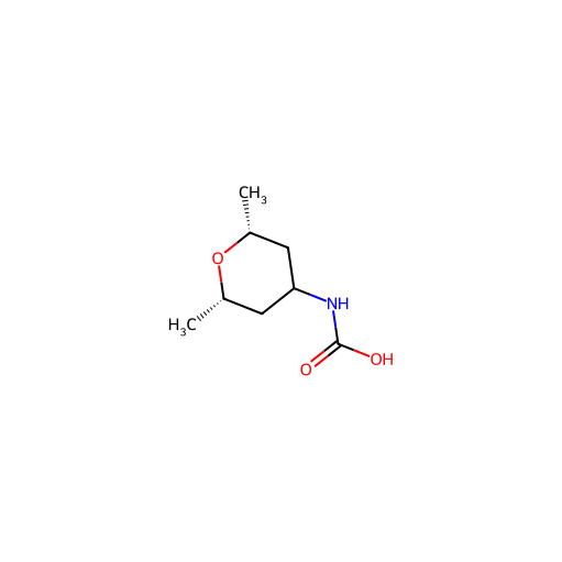 C[C@@H]1CC(NC(=O)O)C[C@H](C)O1